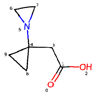 O=C(O)CC1(N2CC2)CC1